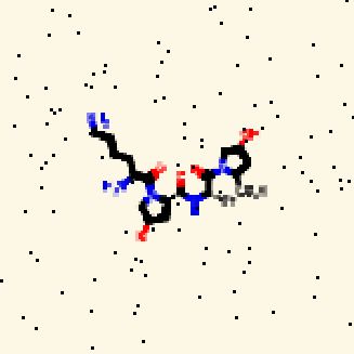 CC(C)[C@H](NC(=O)[C@@H]1C[C@@H](O)CN1C(=O)[C@@H](N)CCCCN)C(=O)N1C[C@H](O)C[C@H]1C(=O)O